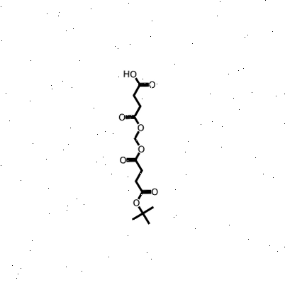 CC(C)(C)OC(=O)CCC(=O)OCOC(=O)CCC(=O)O